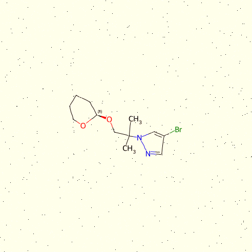 CC(C)(CO[C@@H]1CCCCO1)n1cc(Br)cn1